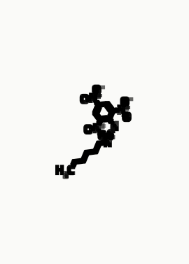 CCCCCCN=C=Nc1c([N+](=O)[O-])cc([N+](=O)[O-])cc1[N+](=O)[O-]